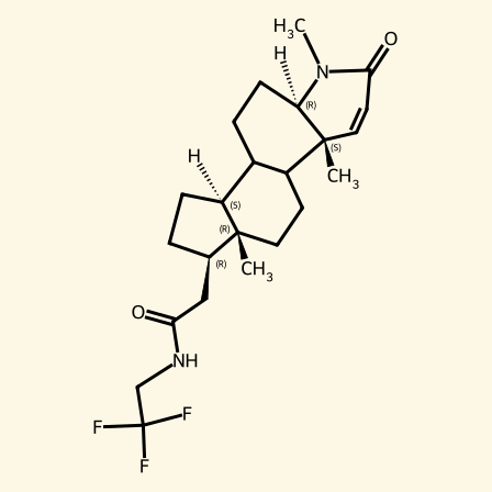 CN1C(=O)C=C[C@]2(C)C3CC[C@]4(C)[C@@H](CC(=O)NCC(F)(F)F)CC[C@H]4C3CC[C@@H]12